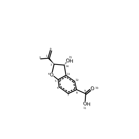 C=C(C)[C@@H]1Oc2ccc(C(=O)O)cc2[C@H]1O